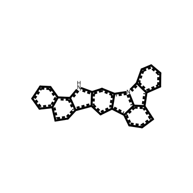 c1ccc2c(c1)ccc1c3cc4c5cccc6c7ccccc7n(c4cc3[nH]c21)c65